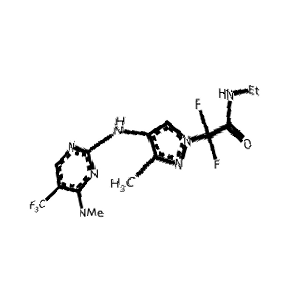 CCNC(=O)C(F)(F)n1cc(Nc2ncc(C(F)(F)F)c(NC)n2)c(C)n1